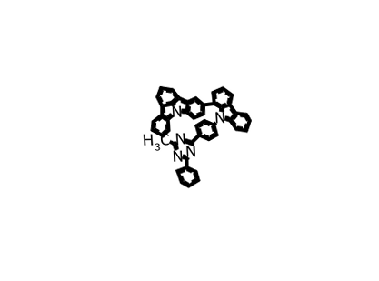 Cc1nc(-c2ccccc2)nc(-c2ccc(-n3c4ccccc4c4cccc(-c5ccc6c(c5)c5cccc7c8ccccc8n6c75)c43)cc2)n1